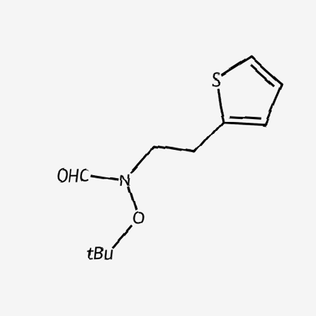 CC(C)(C)ON(C=O)CCc1cccs1